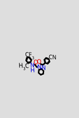 Cc1ccc(C(F)(F)F)cc1NC(=O)CN1C(=O)C(c2ccc(C#N)cc2)=NC12CCCCC2